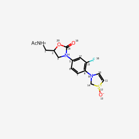 CC(=O)NCC1CN(c2ccc(N3C=C[S+]([O-])C3)c(F)c2)C(=O)O1